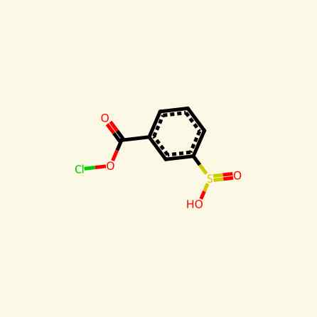 O=C(OCl)c1cccc(S(=O)O)c1